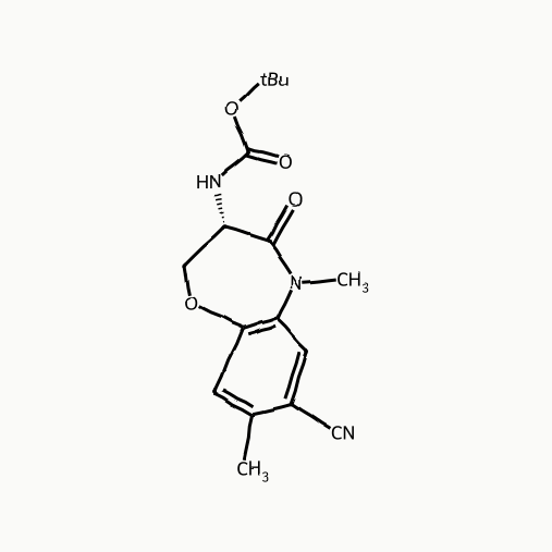 Cc1cc2c(cc1C#N)N(C)C(=O)[C@@H](NC(=O)OC(C)(C)C)CO2